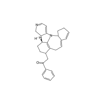 O=C(CC1CC[C@H]2C3=C1CC=C1C=CCCC1N3C1=CC=NC[C@@H]12)c1ccccc1